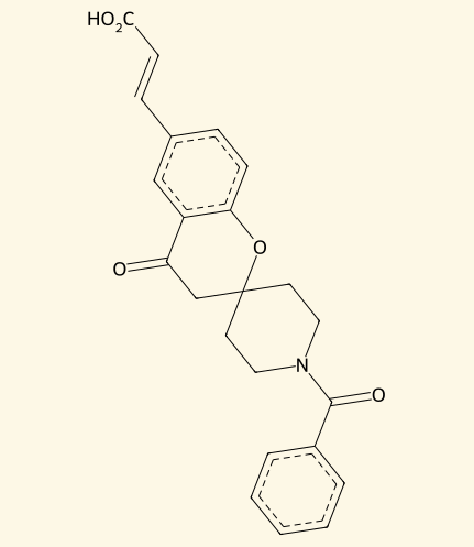 O=C(O)/C=C/c1ccc2c(c1)C(=O)CC1(CCN(C(=O)c3ccccc3)CC1)O2